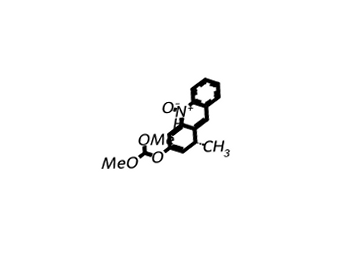 COC(OC)OC1=C[C@@H](C)C2=Cc3ccccc3[NH+]([O-])C2=C1